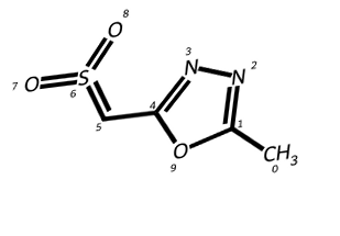 Cc1nnc(C=S(=O)=O)o1